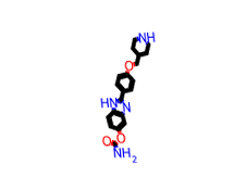 NC(=O)Oc1ccc2[nH]c(-c3ccc(OCC4CCNCC4)cc3)nc2c1